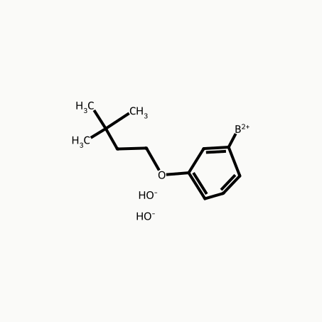 [B+2]c1cccc(OCCC(C)(C)C)c1.[OH-].[OH-]